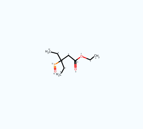 CCOC(=O)CC(CC)(CC)P=O